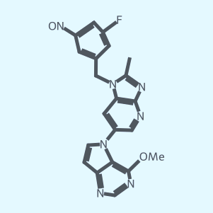 COc1ncnc2ccn(-c3cnc4nc(C)n(Cc5cc(F)cc(N=O)c5)c4c3)c12